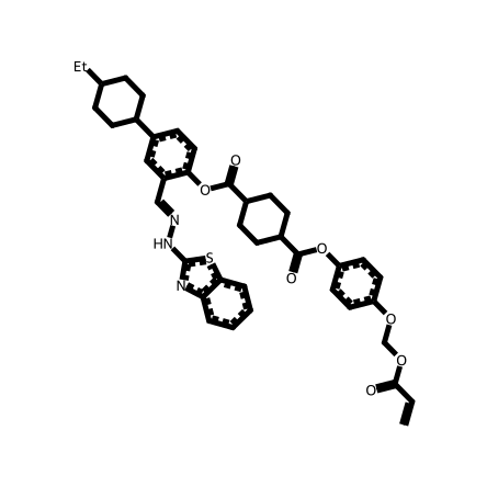 C=CC(=O)OCOc1ccc(OC(=O)C2CCC(C(=O)Oc3ccc(C4CCC(CC)CC4)cc3/C=N/Nc3nc4ccccc4s3)CC2)cc1